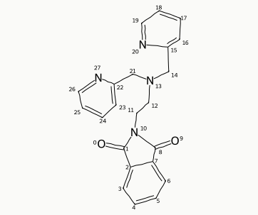 O=C1c2ccccc2C(=O)N1CCN(Cc1ccccn1)Cc1ccccn1